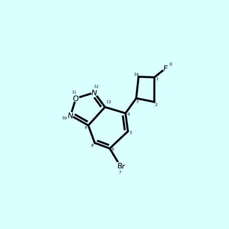 FC1CC(c2cc(Br)cc3nonc23)C1